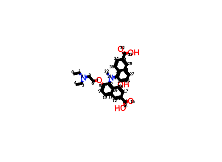 CCN(CC)CCOc1ccc2cc(C(=O)O)ccc2c1N(C)c1c(O)ccc2cc(C(=O)O)ccc12